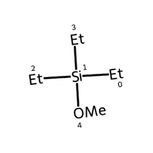 [CH2]C[Si](CC)(CC)OC